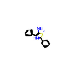 NC1=C(c2ccccc2)NC(c2ccccc2)S1